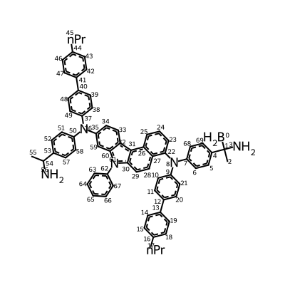 BC(C)(N)c1ccc(N(c2ccc(-c3ccc(CCC)cc3)cc2)c2cccc3c2ccc2c3c3ccc(N(c4ccc(-c5ccc(CCC)cc5)cc4)c4ccc(C(C)N)cc4)cc3n2-c2ccccc2)cc1